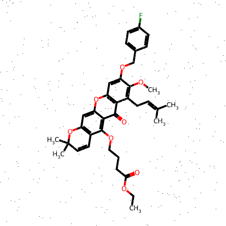 CCOC(=O)CCCOc1c2c(cc3oc4cc(OCc5ccc(F)cc5)c(OC)c(CC=C(C)C)c4c(=O)c13)OC(C)(C)C=C2